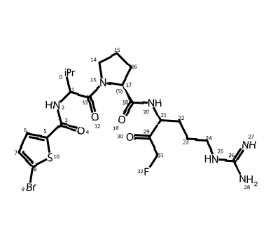 CC(C)C(NC(=O)c1ccc(Br)s1)C(=O)N1CCC[C@H]1C(=O)NC(CCCNC(=N)N)C(=O)CF